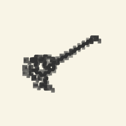 CSCCCCCCCCSCCCCCCOC(=O)C1CCC(CCC(SCCN(C)C)C(C)CCC(SCCN(C)C)C(C)C)C(SCCN(C)C)C1